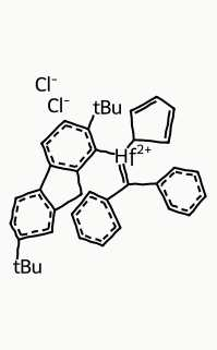 CC(C)(C)c1ccc2c(c1)Cc1c-2ccc(C(C)(C)C)[c]1[Hf+2](=[C](c1ccccc1)c1ccccc1)[CH]1C=CC=C1.[Cl-].[Cl-]